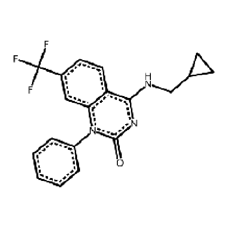 O=c1nc(NCC2CC2)c2ccc(C(F)(F)F)cc2n1-c1ccccc1